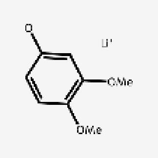 COc1ccc([O-])cc1OC.[Li+]